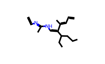 C=C/C=C(C)/C(=C\N/C(C)=N/C=C)C(CC)CCC